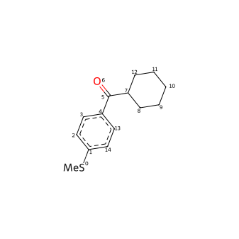 CSc1ccc(C(=O)C2CCCCC2)cc1